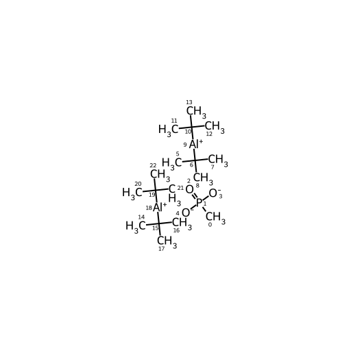 CP(=O)([O-])[O-].C[C](C)(C)[Al+][C](C)(C)C.C[C](C)(C)[Al+][C](C)(C)C